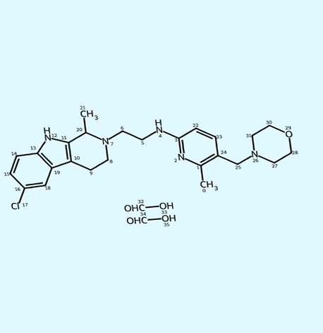 Cc1nc(NCCN2CCc3c([nH]c4ccc(Cl)cc34)C2C)ccc1CN1CCOCC1.O=CO.O=CO